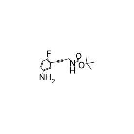 CC(C)(C)OC(=O)NCC#Cc1cc(N)ccc1F